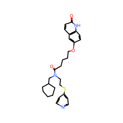 O=C(CCCCOc1ccc2[nH]c(=O)ccc2c1)N(CCSc1ccncc1)CC1CCCCC1